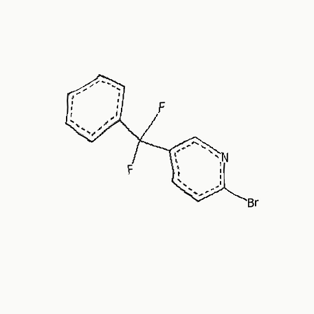 FC(F)(c1ccccc1)c1ccc(Br)nc1